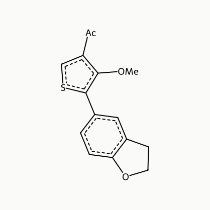 COc1c(C(C)=O)csc1-c1ccc2c(c1)CCO2